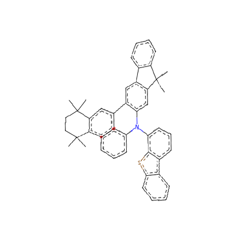 CC1(C)CCC(C)(C)c2cc(-c3cc4c(cc3N(c3ccccc3)c3cccc5c3sc3ccccc35)C(C)(C)c3ccccc3-4)ccc21